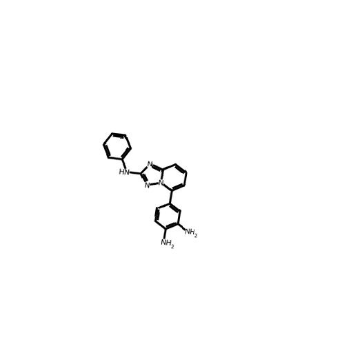 Nc1ccc(-c2cccc3nc(Nc4ccccc4)nn23)cc1N